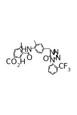 Cc1cc(Cn2nnn(-c3ccccc3C(F)(F)F)c2=O)ccc1NC(=O)c1c(I)cccc1C(=O)O